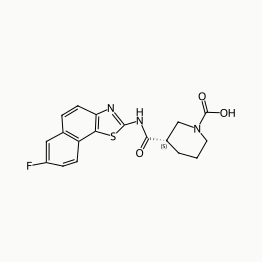 O=C(Nc1nc2ccc3cc(F)ccc3c2s1)[C@H]1CCCN(C(=O)O)C1